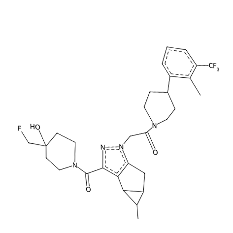 Cc1c(C2CCN(C(=O)Cn3nc(C(=O)N4CCC(O)(CF)CC4)c4c3CC3C(C)C43)CC2)cccc1C(F)(F)F